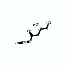 [N-]=[N+]=NC(=O)C[C@H](O)CCl